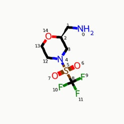 NC[C@H]1CN(S(=O)(=O)C(F)(F)F)CCO1